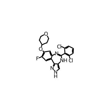 Fc1cc2c(cc1OC1CCOCC1)N=C(c1c(Cl)cccc1Cl)Nc1c[nH]nc1-2